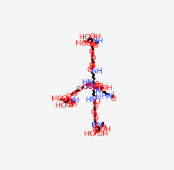 CC(=O)N[C@H]1[C@H](OCCOCCOCCOCC(=O)NCCCC[C@H](NC(=O)COCCOCCOCCO[C@@H]2O[C@H](CO)[C@H](O)[C@H](O)[C@H]2NC(C)=O)C(=O)N[C@@H](CCCCNC(=O)COCCOCCOCCO[C@@H]2O[C@H](CO)[C@H](O)[C@H](O)[C@H]2NC(C)=O)C(=O)N[C@@H](CCCCNC(=O)I)C(=O)O)O[C@H](CO)[C@H](O)[C@@H]1O